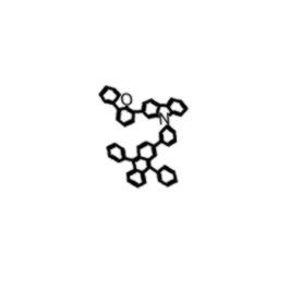 c1ccc(-c2c3ccccc3c(-c3ccccc3)c3cc(-c4cccc(-n5c6ccccc6c6ccc(-c7cccc8c7oc7ccccc78)cc65)c4)ccc23)cc1